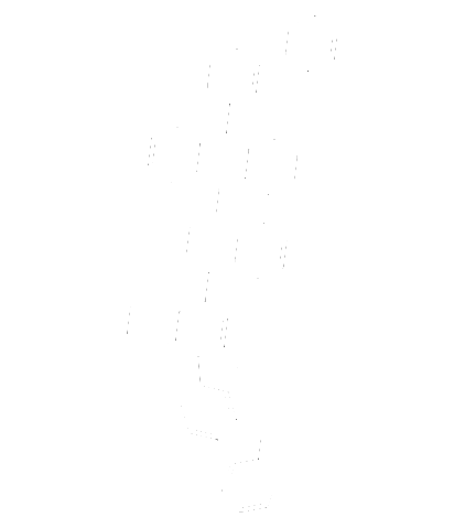 c1ccc(-c2cccc(-c3c4ccccc4c(-c4ccc(-c5cc6oc7c(ccc8c9ccccc9oc87)c6c6ccccc56)c5ccccc45)c4ccccc34)c2)cc1